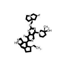 CC[C@H]1CCc2cc3[nH]ncc3c(-c3ncc4c(N5CCC[C@@](C)(O)C5)nc(OC[C@@]56CCCN5C[C@H](F)C6)nc4c3F)c21